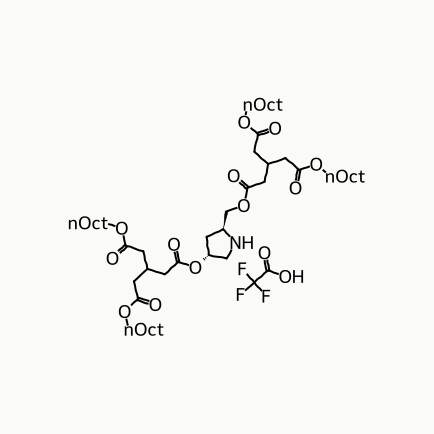 CCCCCCCCOC(=O)CC(CC(=O)OCCCCCCCC)CC(=O)OC[C@@H]1C[C@@H](OC(=O)CC(CC(=O)OCCCCCCCC)CC(=O)OCCCCCCCC)CN1.O=C(O)C(F)(F)F